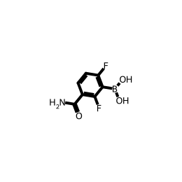 NC(=O)c1ccc(F)c(B(O)O)c1F